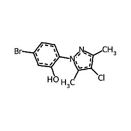 Cc1nn(-c2ccc(Br)cc2O)c(C)c1Cl